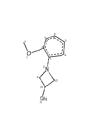 COc1c[c]ccc1N1CC(O)C1